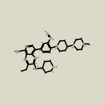 CCc1nc2c(N)ncc(-c3ccc(N4CCC(N5CCN(C)CC5)CC4)c([S+]=O)c3)c2nc1NC1CCOCC1